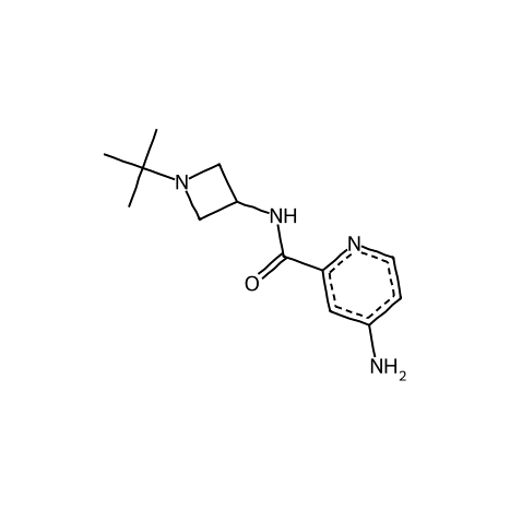 CC(C)(C)N1CC(NC(=O)c2cc(N)ccn2)C1